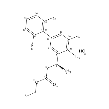 CCOC(=O)C[C@H](N)c1cc(-c2c(C)cccc2F)cc(C)c1F.Cl